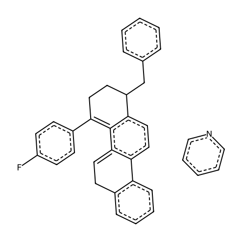 Fc1ccc(C2=c3c(ccc4c3=CCc3ccccc3-4)C(Cc3ccccc3)CC2)cc1.c1ccncc1